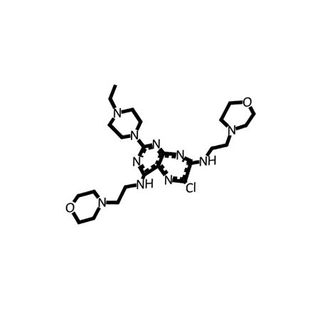 CCN1CCN(c2nc(NCCN3CCOCC3)c3nc(Cl)c(NCCN4CCOCC4)nc3n2)CC1